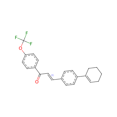 O=C(/C=C/c1ccc(C2=CCCCC2)cc1)c1ccc(OC(F)(F)F)cc1